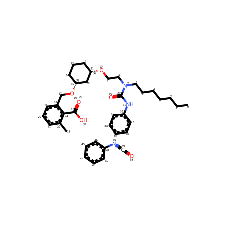 CCCCCCCN(CCO[C@H]1CCC[C@@H](OCc2cccc(C)c2C(=O)O)C1)C(=O)Nc1ccccc1.O=C=Nc1ccccc1